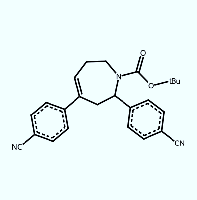 CC(C)(C)OC(=O)N1CCC=C(c2ccc(C#N)cc2)CC1c1ccc(C#N)cc1